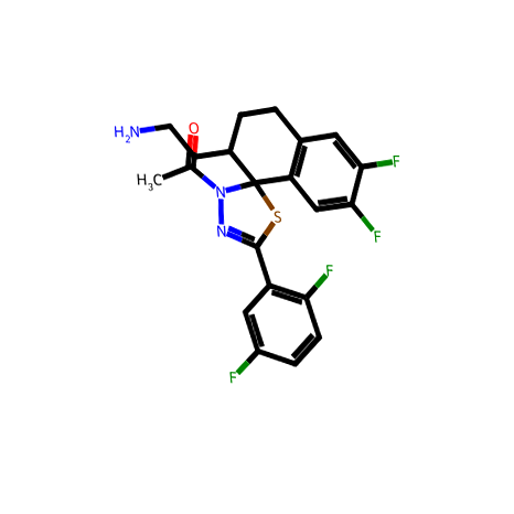 CC(=O)N1N=C(c2cc(F)ccc2F)SC12c1cc(F)c(F)cc1CCC2CCN